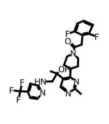 Cc1ncc(C(C)(O)CNc2cc(C(F)(F)F)ccn2)c(C2CCN(C(=O)Cc3c(F)cccc3F)CC2)n1